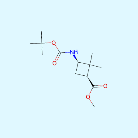 COC(=O)[C@H]1C[C@@H](NC(=O)OC(C)(C)C)C1(C)C